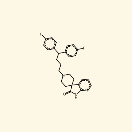 O=C1Nc2ccccc2C12CCN(CCCC(c1ccc(F)cc1)c1ccc(F)cc1)CC2